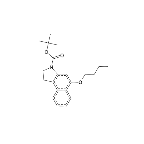 CCCCOc1cc2c(c3ccccc13)CCN2C(=O)OC(C)(C)C